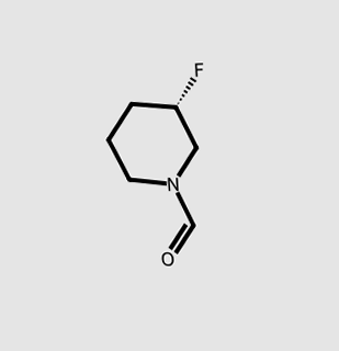 O=CN1CCC[C@H](F)C1